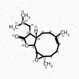 C/C1=C/CC[C@@]2(C)OC2C2OC(=O)[C@@H](CN(C)C)[C@@H]2CC1